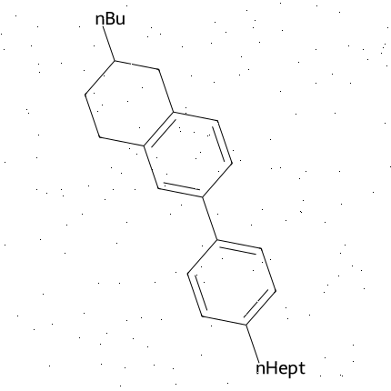 CCCCCCCc1ccc(-c2ccc3c(c2)CCC(CCCC)C3)cc1